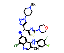 CC(C)(C)N1CCC(n2cc([C@@H](Nc3cc(Cl)c4ncc(C#N)c(Nc5ccc(F)c(Cl)c5)c4c3)c3csc(N4CCOCC4)n3)nn2)CC1